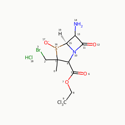 CC1(CBr)C(C(=O)OCC(Cl)(Cl)Cl)N2C(=O)C(N)[C@@H]2[S+]1[O-].Cl